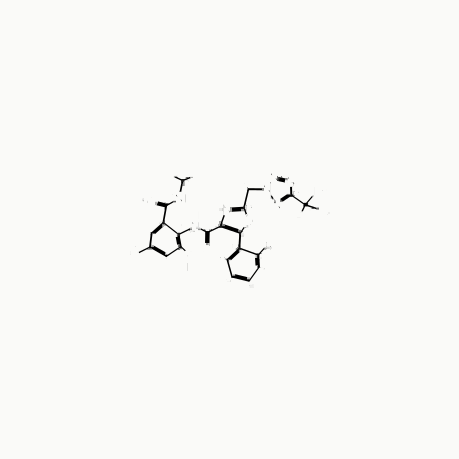 Cc1cc(Br)cc(C(=O)NC(C)C)c1NC(=O)c1nc(Cn2nnc(C(F)(F)F)n2)oc1-c1ccccc1Cl